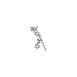 CCCCCCCCN(CCOc1ccc(CC(OCC)C(=O)O)cc1)C(=O)OCc1ccccc1